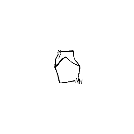 C1NC2CN=C1C2